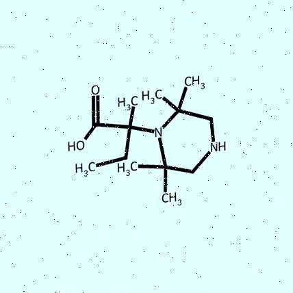 CCC(C)(C(=O)O)N1C(C)(C)CNCC1(C)C